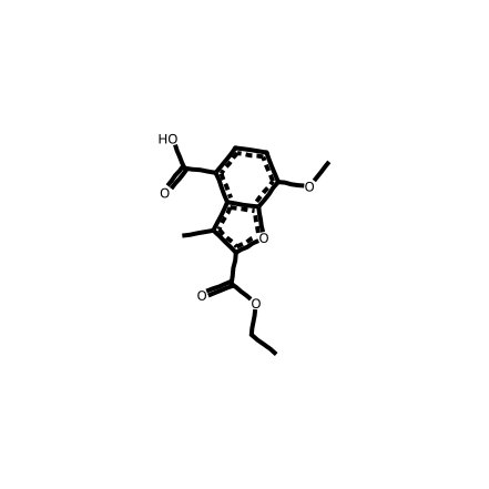 CCOC(=O)c1oc2c(OC)ccc(C(=O)O)c2c1C